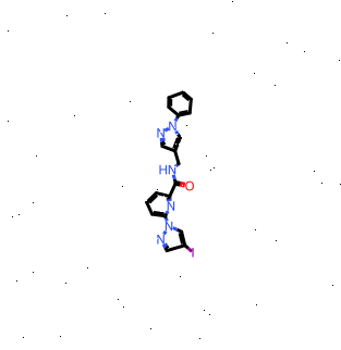 O=C(NCc1cnn(-c2ccccc2)c1)c1cccc(-n2cc(I)cn2)n1